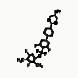 CCCC1COC(c2ccc(-c3cc(F)c(C(F)(F)Oc4cc(F)c(C)c(F)c4C)c(F)c3)cc2)OC1